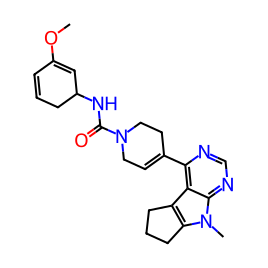 COC1=CC(NC(=O)N2CC=C(c3ncnc4c3c3c(n4C)CCC3)CC2)CC=C1